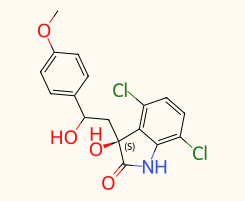 COc1ccc(C(O)C[C@@]2(O)C(=O)Nc3c(Cl)ccc(Cl)c32)cc1